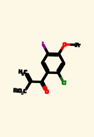 C=C(C(=O)OCC)C(=O)c1cc(I)c(OC(C)C)cc1Cl